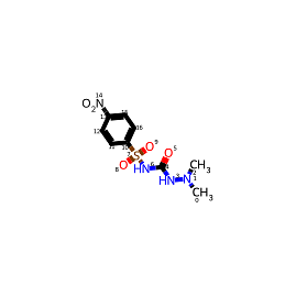 CN(C)NC(=O)NS(=O)(=O)c1ccc([N+](=O)[O-])cc1